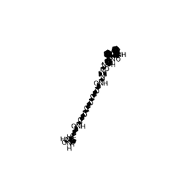 CN(C(=O)CN1CCN(CCNC(=O)CCOCCOCCOCCOCCOCCOCCNC(=O)CCCC[C@@H]2SC[C@@H]3NC(=O)N[C@@H]32)CC1)c1ccc(N/C(=C2\C(=O)Nc3ccccc32)c2ccccc2)cc1